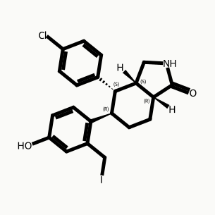 O=C1NC[C@H]2[C@@H](c3ccc(Cl)cc3)[C@H](c3ccc(O)cc3CI)CC[C@@H]12